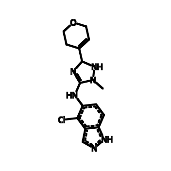 CN1NC(C2=CCOCC2)N=C1Nc1ccc2[nH]ncc2c1Cl